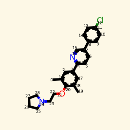 Cc1cc(-c2ccc(-c3ccc(Cl)cc3)cn2)cc(C)c1OCCN1CCCC1